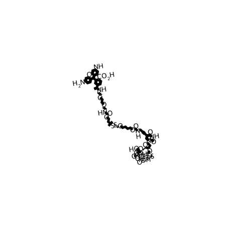 C=C(NCCOCCOCCNC(=O)OCCC(C)(C)SSCOCCCCOC(=O)NCC#Cc1cn([C@H]2CC(OCS(=S)CC)[C@@H](COP(=O)(O)OP(=O)(O)OP(=O)(O)O)O2)c(=O)[nH]c1=O)c1ccc(C(=O)O)c(-c2c3ccc(=N)cc-3oc3cc(N)ccc23)c1